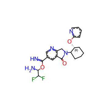 N=C(OC(N)C(F)F)c1cnc2c(c1)C(=O)N(C1CCCC[C@H]1Oc1ccccn1)C2